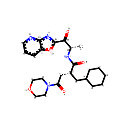 CC[C@H](NC(=O)[C@@H](CC(=O)N1CCOCC1)CC1CCCCC1)C(=O)c1nc2ncccc2o1